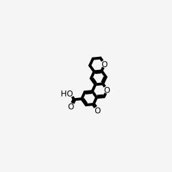 O=C(O)c1cc2c3cc4c(cc3occ-2c(=O)c1)OCCC4